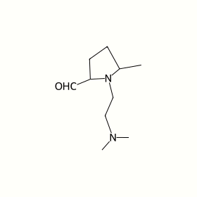 CC1CCC(C=O)N1CCN(C)C